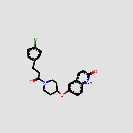 O=C(CCc1ccc(Cl)cc1)N1CCC(Oc2ccc3[nH]c(=O)ccc3c2)CC1